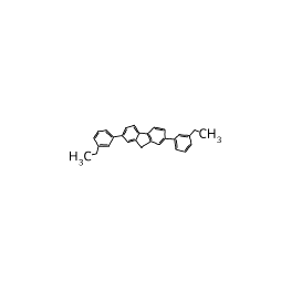 CCc1cccc(-c2ccc3c(c2)Cc2cc(-c4cccc(CC)c4)ccc2-3)c1